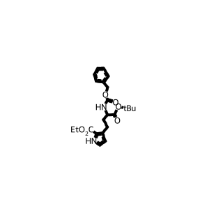 CCOC(=O)c1[nH]ccc1CCC(NC(=O)OCc1ccccc1)C(=O)OC(C)(C)C